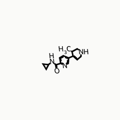 CC1CNCC=C1c1ccc(C(=O)NC2CC2)nc1